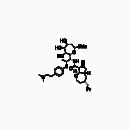 CSC1C[C@H](O)C(O)C(O)[C@@H]([C@H](NC(=O)[C@H]2NC[C@@H]3C[C@H](CC(C)C)CCO[C@H]32)[C@H](C)Sc2ccc(CCN(C)C)cc2)O1